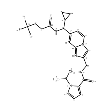 CC(C)n1nccc1C(=O)NCc1cn2ccc(C(NC(=O)CCC(F)(F)F)C3CC3)nc2n1